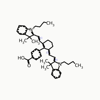 CCCCN1/C(=C/C=C2\CCCC(/C=C/C3=[N+](CCCC)c4ccccc4C3(C)C)=C2c2ccc(C(=O)O)cc2)C(C)(C)c2ccccc21